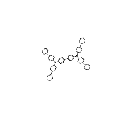 C1=CCC(c2ccc(N(C3=CCC(c4ccccc4)C=C3)c3ccc(-c4ccc(N(C5=CCC(C6=CCCC=C6)C=C5)c5ccc(-c6ccccc6)cc5)cc4)cc3)cc2)C=C1